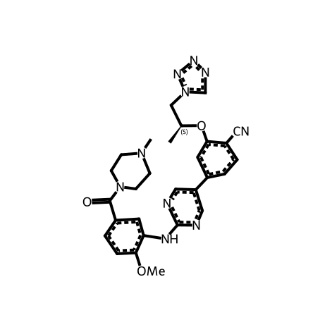 COc1ccc(C(=O)N2CCN(C)CC2)cc1Nc1ncc(-c2ccc(C#N)c(O[C@@H](C)Cn3cnnn3)c2)cn1